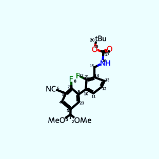 COC(OC)c1cc(C#N)c(F)c(-c2cccc(CNC(=O)OC(C)(C)C)c2F)c1